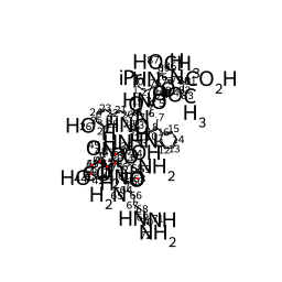 CC(C)C[C@H](NC(=O)[C@H](Cc1c[nH]c2ccccc12)NC(=O)[C@H](Cc1ccc(O)cc1)NC(=O)[C@H](CO)NC(=O)[C@H](Cc1ccc(O)cc1)NC(=O)[C@H](CC(=O)O)NC(=O)[C@H](CC(N)=O)NC(=O)[C@@H](N)CCCNC(=N)N)C(=O)N[C@H](C(=O)N[C@H](C(=O)O)[C@@H](C)O)[C@@H](C)O